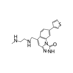 CNCCNCc1cc2n[nH]c(=O)n2c2cc(-c3ccsc3)ccc12